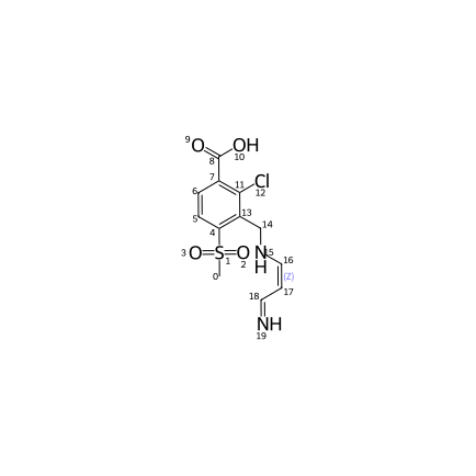 CS(=O)(=O)c1ccc(C(=O)O)c(Cl)c1CN/C=C\C=N